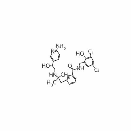 CC(C)(Cc1cccc(C(=O)NCc2cc(Cl)cc(Cl)c2O)c1)NC[C@@H](O)c1ccc(N)nc1